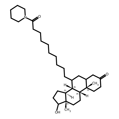 C[C@]12CCC(=O)CC1CC(CCCCCCCCCC(=O)N1CCCCC1)[C@@H]1[C@H]2CC[C@]2(C)C(O)CC[C@@H]12